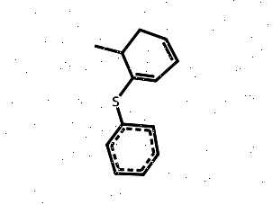 CC1CC=CC=C1Sc1ccccc1